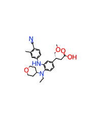 CCN(c1ccc([C@H](COC)CC(=O)O)cc1Nc1ccc(C#N)c(C)c1)C1CCOCC1